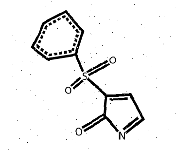 O=C1N=CC=C1S(=O)(=O)c1ccccc1